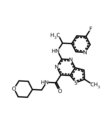 Cc1cc2nc(NC(C)c3cncc(F)c3)nc(C(=O)NCC3CCOCC3)c2s1